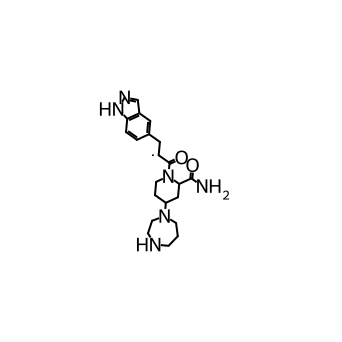 NC(=O)C1CC(N2CCCNCC2)CCN1C(=O)[CH]Cc1ccc2[nH]ncc2c1